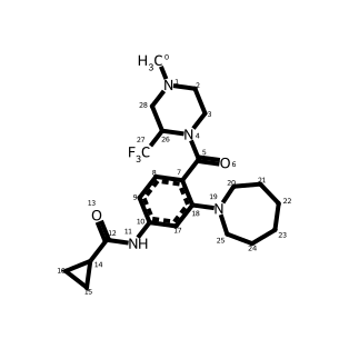 CN1CCN(C(=O)c2ccc(NC(=O)C3CC3)cc2N2CCCCCC2)C(C(F)(F)F)C1